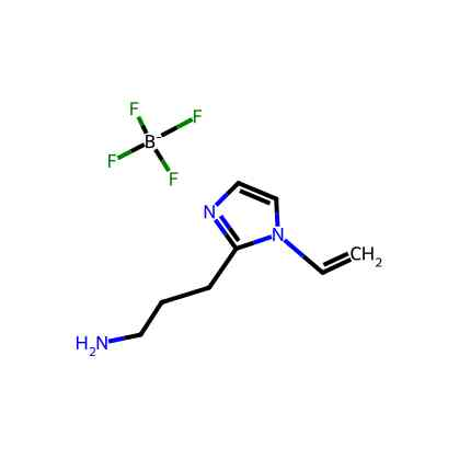 C=Cn1ccnc1CCCN.F[B-](F)(F)F